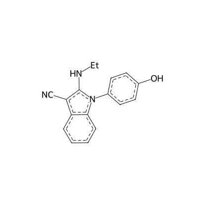 CCNc1c(C#N)c2ccccc2n1-c1ccc(O)cc1